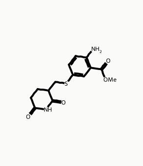 COC(=O)c1cc(SCC2CCC(=O)NC2=O)ccc1N